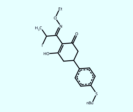 CCCCSc1ccc(C2CC(=O)C(C(=NOCC)C(C)I)=C(O)C2)cc1